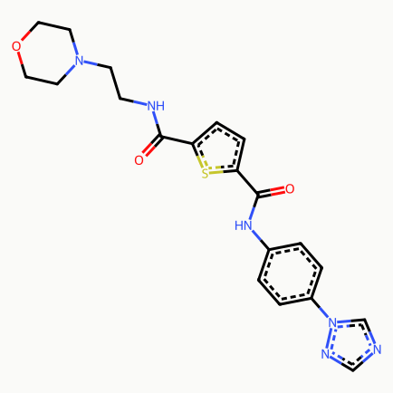 O=C(NCCN1CCOCC1)c1ccc(C(=O)Nc2ccc(-n3cncn3)cc2)s1